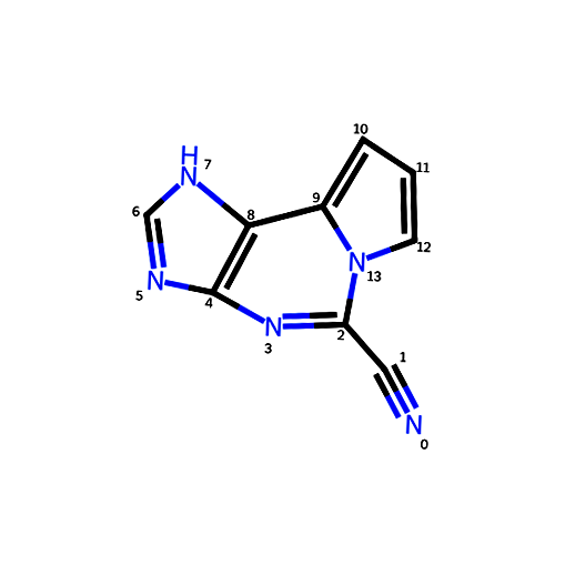 N#Cc1nc2nc[nH]c2c2cccn12